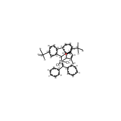 CC1=C[CH]([Zr]([Cl])([Cl])(=[C](c2ccccc2)c2ccccc2)[CH]2c3cc(C(C)(C)C)ccc3-c3ccc(C(C)(C)C)cc32)C(C)=C1